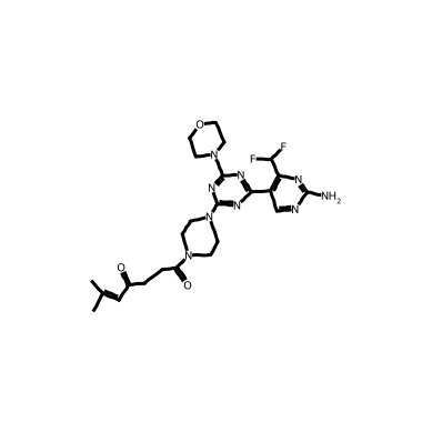 CC(C)=CC(=O)CCC(=O)N1CCN(c2nc(-c3cnc(N)nc3C(F)F)nc(N3CCOCC3)n2)CC1